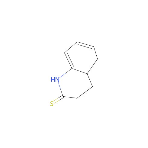 S=C1CCC2CC=CC=C2N1